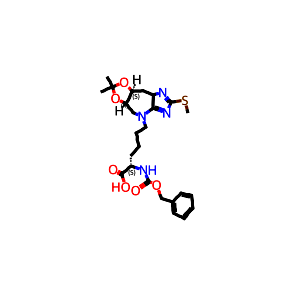 CSC1=NC2C[C@@H]3OC(C)(C)O[C@@H]3CN(CCCC[C@H](NC(=O)OCc3ccccc3)C(=O)O)C2=N1